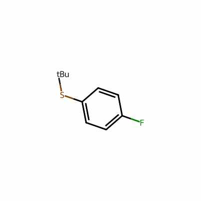 CC(C)(C)Sc1ccc(F)cc1